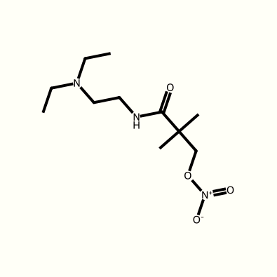 CCN(CC)CCNC(=O)C(C)(C)CO[N+](=O)[O-]